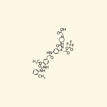 COc1cc(CC(=O)Nc2ccc([C@@H](CC(=O)OC(=O)C(F)(F)F)NC(=O)C3CCN(CC(=O)O)CC3)cc2)ccc1NC(=O)Nc1ccccc1C